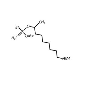 C=P(CC)(OC)OC(C)CCCCCCCNC